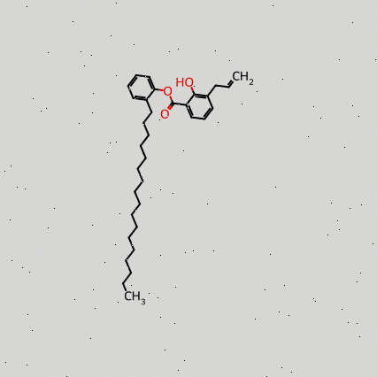 C=CCc1cccc(C(=O)Oc2ccccc2CCCCCCCCCCCCCCCCC)c1O